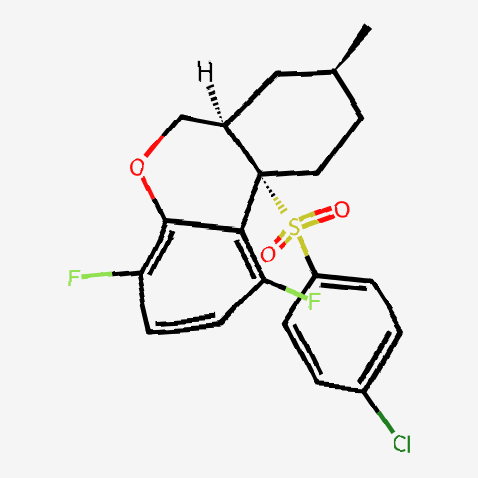 C[C@H]1CC[C@@]2(S(=O)(=O)c3ccc(Cl)cc3)c3c(F)ccc(F)c3OC[C@H]2C1